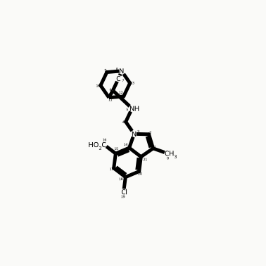 Cc1cn(CNC2CN3CCC2CC3)c2c(C(=O)O)cc(Cl)cc12